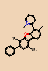 Cc1ccc2c(oc3c(C#N)c(-c4ccccc4)cc(C(C)(C)C)c32)c1-c1cccc[n+]1C